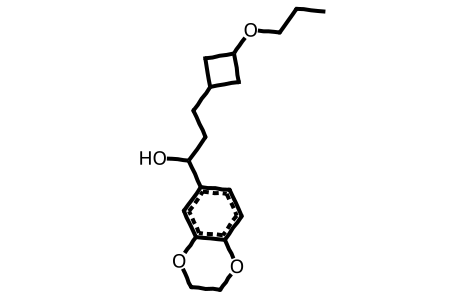 CCCOC1CC(CCC(O)c2ccc3c(c2)OCCO3)C1